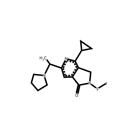 CC(c1cc2c(c(C3CC3)n1)CN(SI)C2=O)N1CCCC1